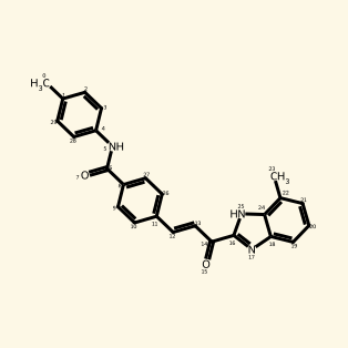 Cc1ccc(NC(=O)c2ccc(C=CC(=O)c3nc4cccc(C)c4[nH]3)cc2)cc1